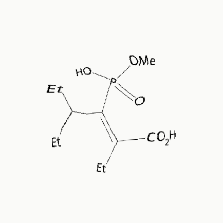 CC/C(C(=O)O)=C(\C(CC)CC)P(=O)(O)OC